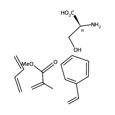 C=C(C)C(=O)OC.C=CC=C.C=Cc1ccccc1.N[C@@H](CO)C(=O)O